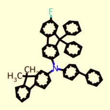 CC1(C)c2ccccc2-c2ccc(N(c3ccc(-c4ccccc4)cc3)c3ccc4c(c3)C(c3ccccc3)(c3ccccc3)c3cc(F)ccc3-4)cc21